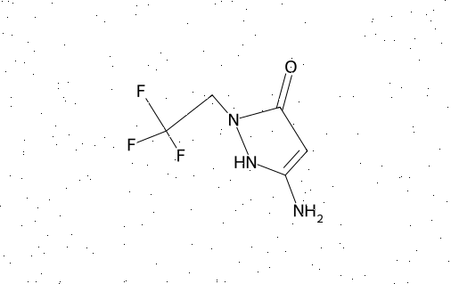 Nc1cc(=O)n(CC(F)(F)F)[nH]1